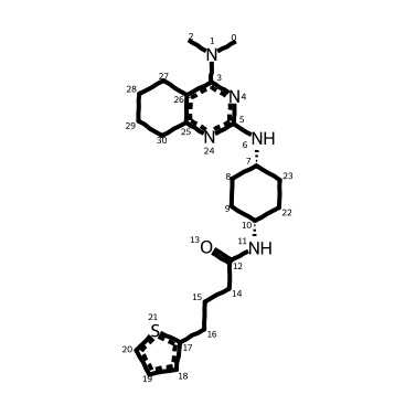 CN(C)c1nc(N[C@H]2CC[C@@H](NC(=O)CCCc3cccs3)CC2)nc2c1CCCC2